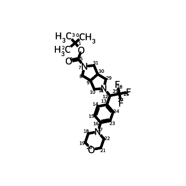 CC(C)(C)OC(=O)N1CC2CN(C(c3ccc(N4CCOCC4)cc3)C(F)(F)F)CC2C1